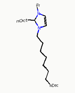 CCCCCCCCCCCCCCCCCN1C=CN(C(C)C)C1CCCCCCCC